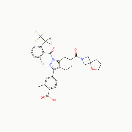 Cc1cc(-c2nn(C(=O)c3c(Cl)cccc3C3(C(F)(F)F)CC3)c3c2CCC(C(=O)N2CC4(CCCO4)C2)C3)ccc1C(=O)O